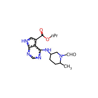 CCCOC(=O)c1c[nH]c2ncnc(NC3CCC(C)N(C=O)C3)c12